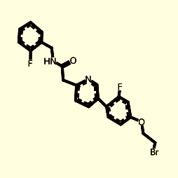 O=C(Cc1ccc(-c2ccc(OCCBr)cc2F)cn1)NCc1ccccc1F